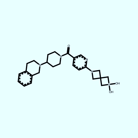 O=C(c1ccc(N2CC3(C2)CS(O)(O)C3)nc1)N1CCC(N2CCc3ccccc3C2)CC1